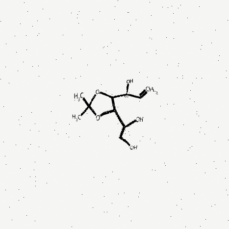 C=C[C@H](O)C1OC(C)(C)OC1C(O)CO